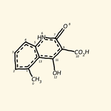 Cc1cccc2[nH]c(=O)c(C(=O)O)c(O)c12